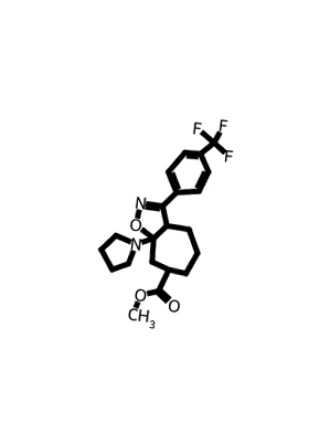 COC(=O)C1CCCC2C(c3ccc(C(F)(F)F)cc3)=NOC2(N2CCCC2)C1